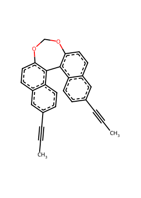 CC#Cc1ccc2c3c(ccc2c1)OCOc1ccc2cc(C#CC)ccc2c1-3